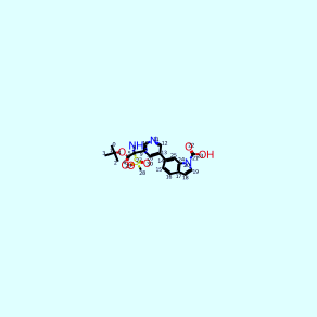 CC(C)(C)OC(=O)C(N)(c1cncc(-c2ccc3ccn(C(=O)O)c3c2)c1)S(C)(=O)=O